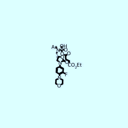 CCOC(=O)CCC(=O)OP(=O)(O)N(C[C@H]1CN(c2ccc(N3CCOCC3)c(F)c2)C(=O)O1)C(C)=O